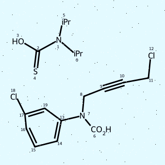 CC(C)N(C(O)=S)C(C)C.O=C(O)N(CC#CCCl)c1cccc(Cl)c1